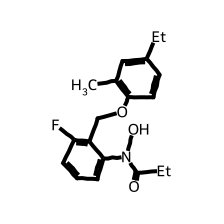 CCC(=O)N(O)c1cccc(F)c1COc1ccc(CC)cc1C